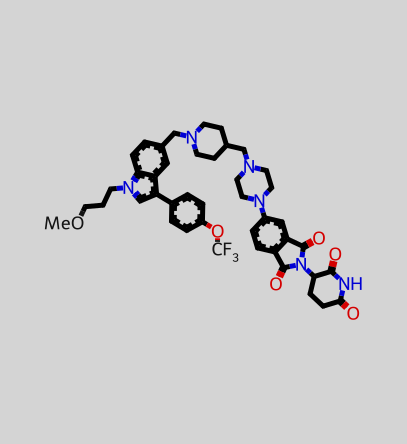 COCCCn1cc(-c2ccc(OC(F)(F)F)cc2)c2cc(CN3CCC(CN4CCN(c5ccc6c(c5)C(=O)N(C5CCC(=O)NC5=O)C6=O)CC4)CC3)ccc21